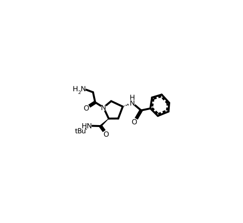 CC(C)(C)NC(=O)[C@@H]1C[C@@H](NC(=O)c2ccccc2)CN1C(=O)CN